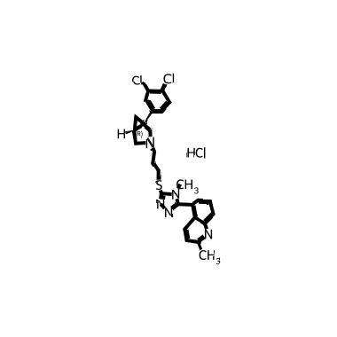 Cc1ccc2c(-c3nnc(SCCCN4C[C@@H]5C[C@]5(c5ccc(Cl)c(Cl)c5)C4)n3C)cccc2n1.Cl